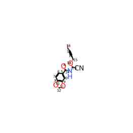 N#CC(NC(=O)c1ccc2c(c1)OCO2)OCC#CI